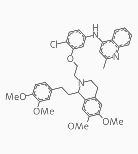 COc1ccc(CCC2c3cc(OC)c(OC)cc3CCN2CCOc2cc(Nc3cc(C)nc4ccccc34)ccc2Cl)cc1OC